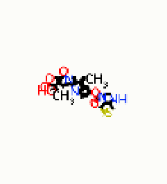 CCc1c2c(nc3ccc(OC(=O)N4CCNC5CSSCC54)cc13)-c1cc3c(c(=O)n1C2)COC(=O)[C@]3(O)CC